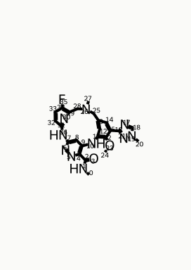 CNC(=O)c1nnc2cc1Nc1cc(cc(-c3ncn(C)n3)c1OC)CN(C)Cc1nc(ccc1F)N2